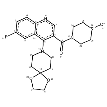 O=C(c1cnc2ccc(F)cc2c1N1CCC2(CC1)OCCO2)N1CC[S+]([O-])CC1